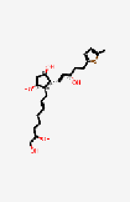 Cc1ccc(CC[C@H](O)C=C[C@@H]2[C@@H](CC=CCCCC(O)CO)[C@@H](O)C[C@H]2O)s1